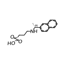 C[C@@H](NCCCS(=O)(=O)O)c1ccc2ccccc2c1